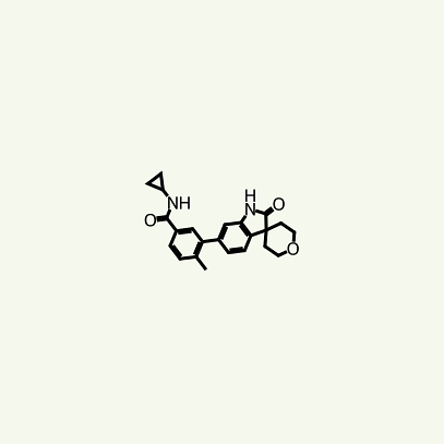 Cc1ccc(C(=O)NC2CC2)cc1-c1ccc2c(c1)NC(=O)C21CCOCC1